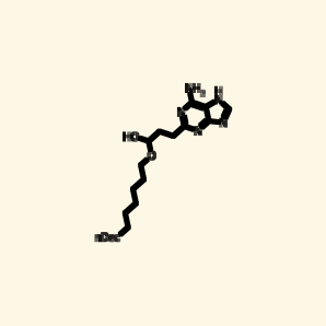 CCCCCCCCCCCCCCCCOC(O)CCc1nc(N)c2[nH]cnc2n1